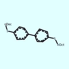 CCCCCCCCCCSc1ccc(-c2ccc(SCCCCCCCC)cc2)cc1